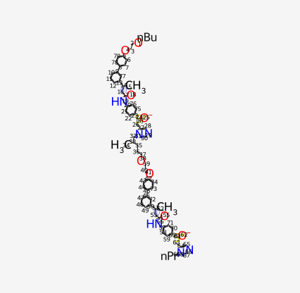 CCCCOCCOc1ccc(-c2cccc(/C(C)=C/C(=O)Nc3ccc([S@@+]([O-])Cc4cncn4CC(C)CCCOCCOc4ccc(-c5cccc(/C(C)=C/C(=O)Nc6ccc([S@+]([O-])Cc7cncn7CCC)cc6)c5)cc4)cc3)c2)cc1